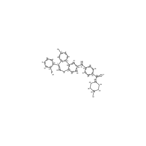 Cc1ccc2c(c1)C(c1ccccc1F)=NCc1cnc(Nc3ccc(C(=O)N4CCN(C)CC4)cc3)nc1-2